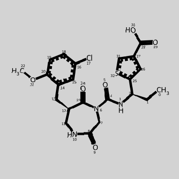 CC[C@@H](NC(=O)N1CC(=O)NC[C@@H](Cc2cc(Cl)ccc2OC)C1=O)c1cc(C(=O)O)cs1